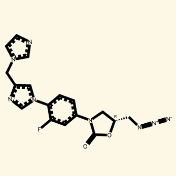 [N-]=[N+]=NC[C@H]1CN(c2ccc(-n3cnc(Cn4ccnc4)c3)c(F)c2)C(=O)O1